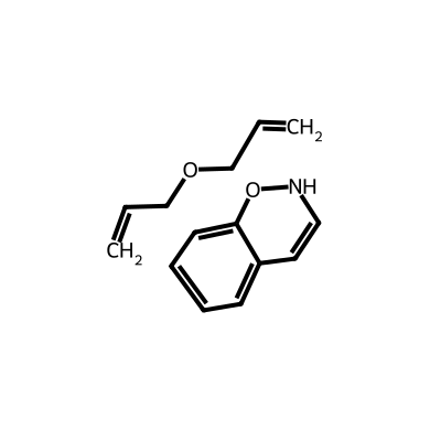 C1=Cc2ccccc2ON1.C=CCOCC=C